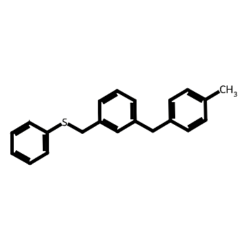 Cc1ccc(Cc2cccc(CSc3[c]cccc3)c2)cc1